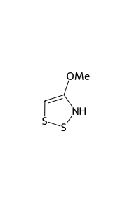 COC1=CSSN1